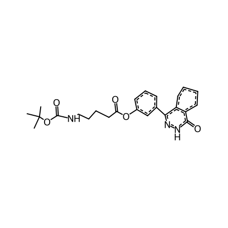 CC(C)(C)OC(=O)NCCCCC(=O)Oc1cccc(-c2n[nH]c(=O)c3ccccc23)c1